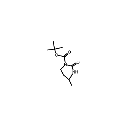 CC1CCN(C(=O)OC(C)(C)C)C(=O)N1